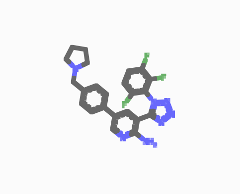 Nc1ncc(-c2ccc(CN3CCCC3)cc2)cc1-c1nnnn1-c1c(F)ccc(F)c1F